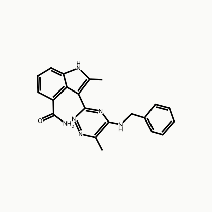 Cc1nnc(-c2c(C)[nH]c3cccc(C(N)=O)c23)nc1NCc1ccccc1